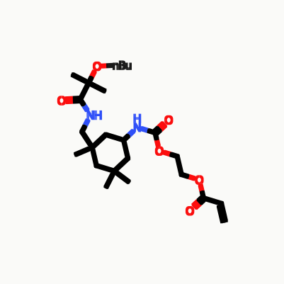 C=CC(=O)OCCOC(=O)NC1CC(C)(C)CC(C)(CNC(=O)C(C)(C)OCCCC)C1